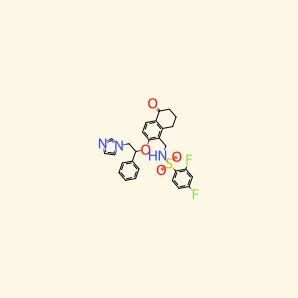 O=C1CCCc2c1ccc(OC(Cn1ccnc1)c1ccccc1)c2CNS(=O)(=O)c1ccc(F)cc1F